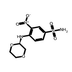 NS(=O)(=O)c1ccc(N[C@H]2COCCO2)c([N+](=O)[O-])c1